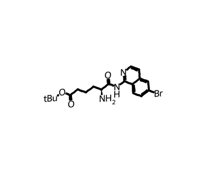 CC(C)(C)OC(=O)CCC[C@H](N)C(=O)Nc1nccc2cc(Br)ccc12